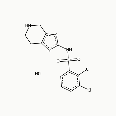 Cl.O=S(=O)(Nc1nc2c(s1)CNCC2)c1cccc(Cl)c1Cl